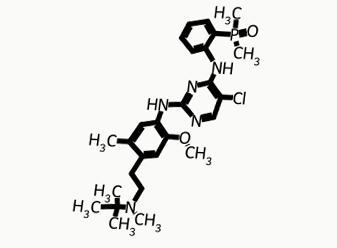 COc1cc(CCN(C)C(C)(C)C)c(C)cc1Nc1ncc(Cl)c(Nc2ccccc2P(C)(C)=O)n1